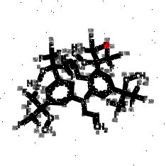 C=CCB(c1cc(C(OC)(C(F)(F)F)C(F)(F)F)cc(C(OC)(C(F)(F)F)C(F)(F)F)c1)c1cc(C(OC)(C(F)(F)F)C(F)(F)F)cc(C(OC)(C(F)(F)F)C(F)(F)F)c1CC=C